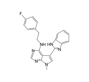 Cn1cc(-c2nc3ccccc3[nH]2)c2c(NCCc3ccc(F)cc3)ncnc21